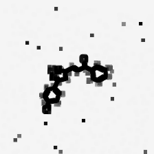 O=C(C=Cc1cc(-c2ccc(Cl)cc2)n[nH]1)c1ccccc1